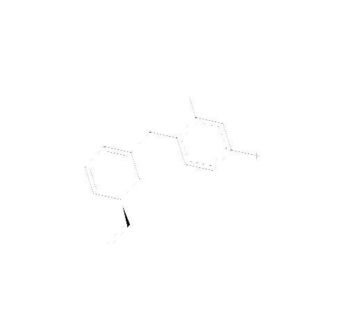 C=C[C@H]1C=CC=C(Cc2ccc(F)cc2F)C1